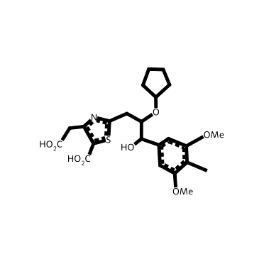 COc1cc(C(O)C(Cc2nc(CC(=O)O)c(C(=O)O)s2)OC2CCCC2)cc(OC)c1C